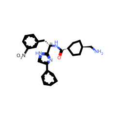 NC[C@H]1CC[C@H](C(=O)N[C@@H](Cc2cccc([N+](=O)[O-])c2)c2nc(-c3ccccc3)c[nH]2)CC1